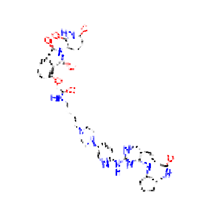 CN(C)C(=O)c1cc2cnc(Nc3ccc(N4CCN(CCCCNC(=O)COc5cccc6c5C(=O)N(C5CCC(=O)NC5=O)C6=O)CC4)cn3)nc2n1C1CCCC1